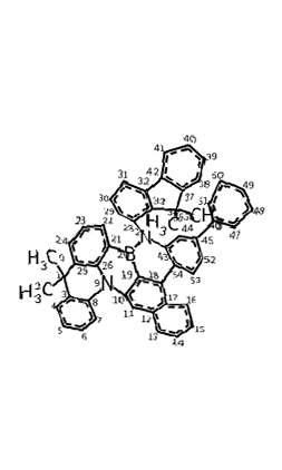 CC1(C)c2ccccc2N2c3cc4ccccc4c4c3B(c3cccc1c32)N(c1cccc2c1C(C)(C)c1ccccc1-2)c1cc(-c2ccccc2)ccc1-4